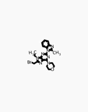 CCn1c(CBr)nc2c(N3CCOCC3)nc(-n3c(C)nc4ccccc43)nc21